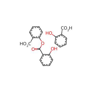 O=C(O)c1ccccc1O.O=C(Oc1ccccc1C(=O)O)c1ccccc1O